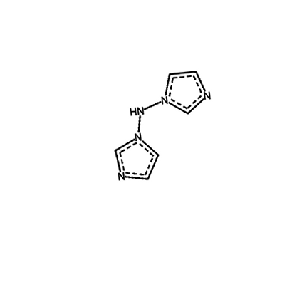 c1cn(Nn2ccnc2)cn1